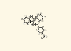 CN(C)c1ccc(CNc2c(-c3ccccc3)nc3ccccn23)cc1